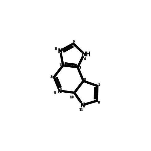 C1=CC2c3[nH]cnc3C=NC2[N]1